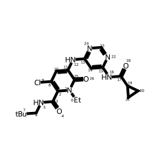 CCn1c(C(=O)NCC(C)(C)C)c(Cl)cc(Nc2cc(NC(=O)C3CC3)ncn2)c1=O